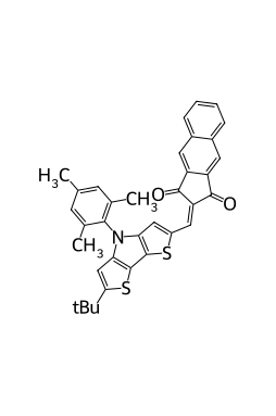 Cc1cc(C)c(-n2c3cc(C=C4C(=O)c5cc6ccccc6cc5C4=O)sc3c3sc(C(C)(C)C)cc32)c(C)c1